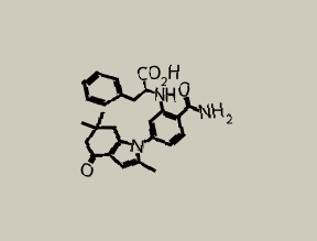 Cc1cc2c(n1-c1ccc(C(N)=O)c(N[C@@H](Cc3ccccc3)C(=O)O)c1)CC(C)(C)CC2=O